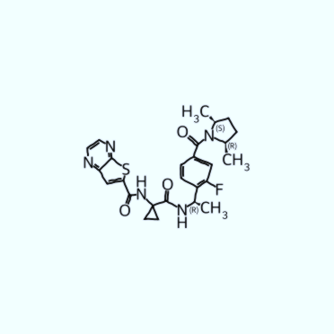 C[C@@H]1CC[C@H](C)N1C(=O)c1ccc([C@@H](C)NC(=O)C2(NC(=O)c3cc4nccnc4s3)CC2)c(F)c1